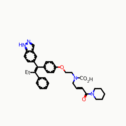 CC/C(=C(/c1ccc(OCCN(C/C=C/C(=O)N2CCCCC2)C(=O)O)cc1)c1ccc2[nH]ncc2c1)c1ccccc1